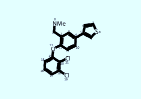 CNCc1cc(-c2ccsc2)ccc1Oc1cccc(Cl)c1Cl